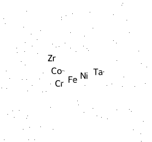 [Co].[Cr].[Fe].[Ni].[Ta].[Zr]